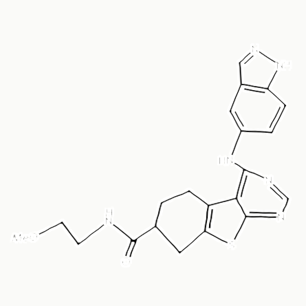 COCCNC(=O)C1CCc2c(sc3ncnc(Nc4ccc5[nH]ncc5c4)c23)C1